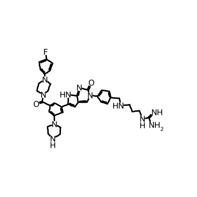 N=C(N)NCCCNCc1ccc(-n2cc3cc(-c4cc(C(=O)N5CCN(c6ccc(F)cc6)CC5)cc(N5CCNCC5)c4)[nH]c3nc2=O)cc1